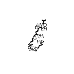 C=C(C)C(=O)NC(PC)C(=O)CCC(COCCC[Si](C)(C)O[Si](C)(C)C[Si](C)(C)CCCPC)PC